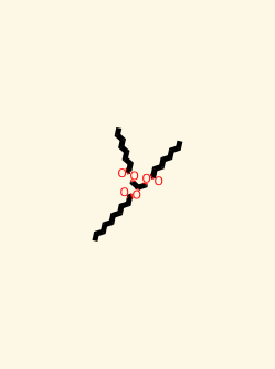 CCCCCCCCCC(=O)OC(COC(=O)CCCCCCC)COC(=O)CCCCCCC